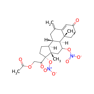 C=C1C[C@@H]2[C@H](C(O[N+](=O)[O-])C[C@@]3(C)[C@H]2CC[C@]3(O[N+](=O)[O-])C(=O)COC(C)=O)[C@@]2(C)CCC(=O)C=C12